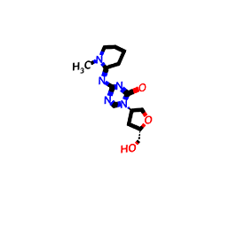 CN1CCCC/C1=N\c1ncn([C@@H]2CO[C@H](CO)C2)c(=O)n1